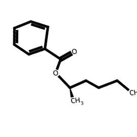 CCCC[C@@H](C)OC(=O)c1ccccc1